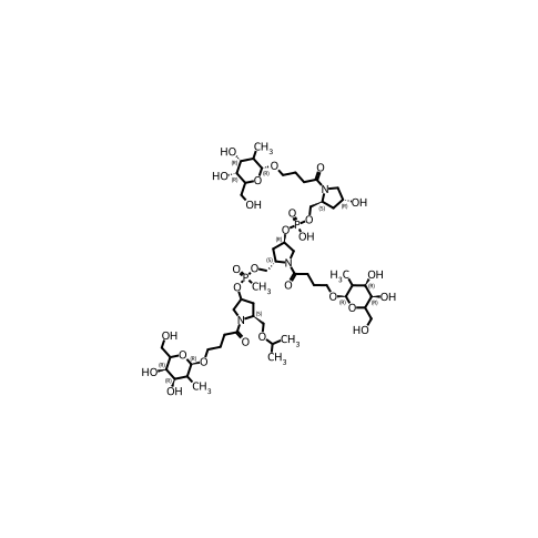 CC(C)OC[C@@H]1CC(OP(C)(=O)OC[C@@H]2C[C@@H](OP(=O)(O)OC[C@@H]3C[C@@H](O)CN3C(=O)CCCO[C@@H]3OC(CO)[C@H](O)[C@H](O)C3C)CN2C(=O)CCCO[C@@H]2OC(CO)[C@H](O)[C@H](O)C2C)CN1C(=O)CCCO[C@@H]1OC(CO)[C@H](O)[C@H](O)C1C